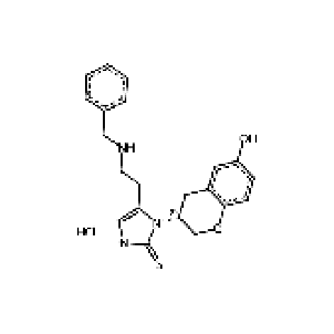 Cl.Oc1ccc2c(c1)C[C@@H](N1C(=S)[N]C=C1CCNCc1ccccc1)CO2